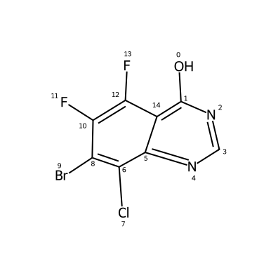 Oc1ncnc2c(Cl)c(Br)c(F)c(F)c12